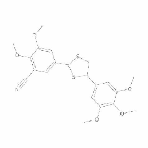 COc1cc(C2SCC(c3cc(OC)c(OC)c(OC)c3)S2)cc(C#N)c1OC